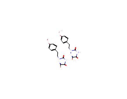 COc1ccc(CCn2nc(Br)c(=O)[nH]c2=O)cc1.COc1ccc(CCn2nc(O)c(=O)[nH]c2=O)cc1